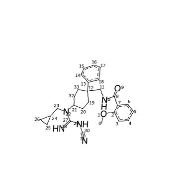 COc1ccccc1C(=O)NCC1(c2ccccc2)CCC(N(CC2CC2)C(=N)NC#N)CC1